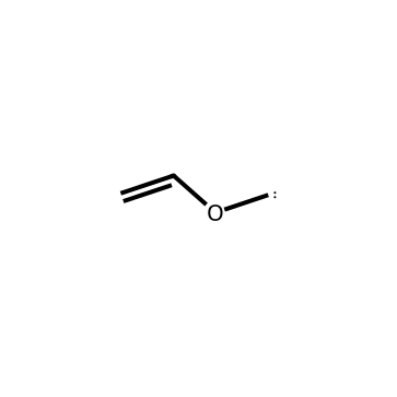 [CH]OC=C